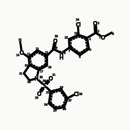 COC(=O)c1ccc(NC(=O)c2cc(OC)c3c(c2)N(S(=O)(=O)c2cccc(Cl)c2)CC3)cc1Cl